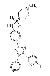 CN1CCN(S(=O)(=O)Nc2ccc(-c3nc(-c4ccc(F)cc4)c(-c4ccncc4)[nH]3)cc2)CC1